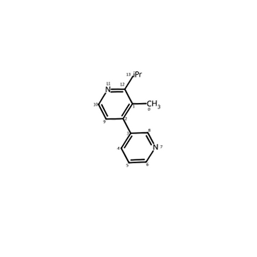 Cc1c(-c2cccnc2)ccnc1C(C)C